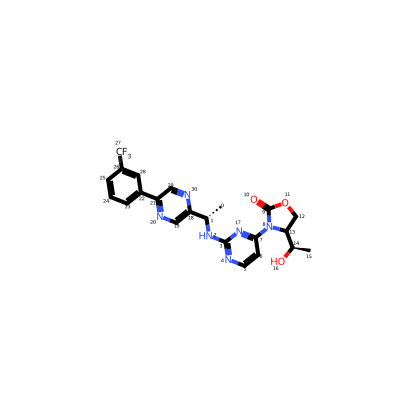 C[C@H](Nc1nccc(N2C(=O)OCC2[C@@H](C)O)n1)c1cnc(-c2cccc(C(F)(F)F)c2)cn1